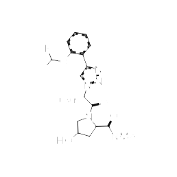 CNC(=O)C1CC(O)CN1C(=O)[C@@H](n1cc(-c2ccccc2OC(F)F)nn1)C(C)(C)C